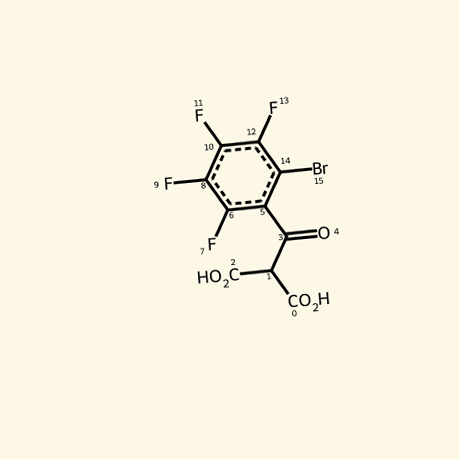 O=C(O)C(C(=O)O)C(=O)c1c(F)c(F)c(F)c(F)c1Br